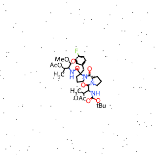 COC(=O)C(NC(=O)C1(Cc2ccc(F)cc2)CCCN1C(=O)[C@@H]1CCCN1C(=O)C(NC(=O)OC(C)(C)C)C(C)OC(C)=O)C(C)OC(C)=O